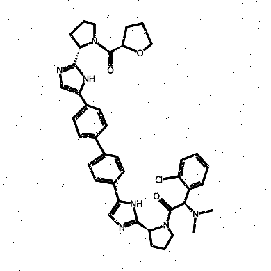 CN(C)[C@@H](C(=O)N1CCC[C@H]1c1ncc(-c2ccc(-c3ccc(-c4cnc([C@@H]5CCCN5C(=O)[C@H]5CCCO5)[nH]4)cc3)cc2)[nH]1)c1ccccc1Cl